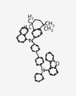 CC1(C)CCC(C)(C)c2cc(N(c3ccc(-c4ccc(N(c5ccccc5)c5cccc6oc7ccccc7c56)cc4)cc3)c3cccc4ccccc34)ccc21